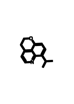 CC(C)c1ccc2c3c(ccnc13)CCO2